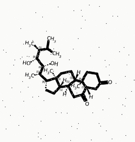 CC(C)[C@H](C)[C@@H](O)[C@H](O)[C@@H](C)[C@H]1CC[C@H]2[C@@H]3CC(=O)[C@H]4CC(=O)CC[C@]4(C)[C@H]3CC[C@]12C